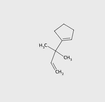 C=CC(C)(C)C1=CCCC1